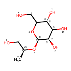 C[C@@H](CO)O[C@H]1OC(CO)[C@H](O)C(O)[C@H]1O